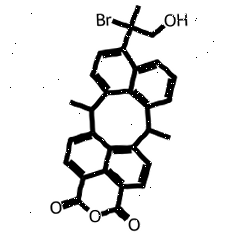 CC1c2cccc3c(C(C)(Br)CO)ccc(c23)C(C)c2ccc3c4c(ccc1c24)C(=O)OC3=O